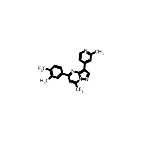 Cc1cc(-c2cnn3c(C(F)(F)F)cc(-c4ccc(C(F)(F)F)c(C)c4)nc23)ccn1